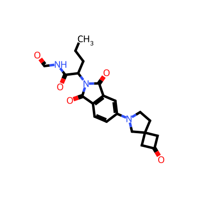 CCCC(C(=O)NC=O)N1C(=O)c2ccc(N3CCC4(CC(=O)C4)C3)cc2C1=O